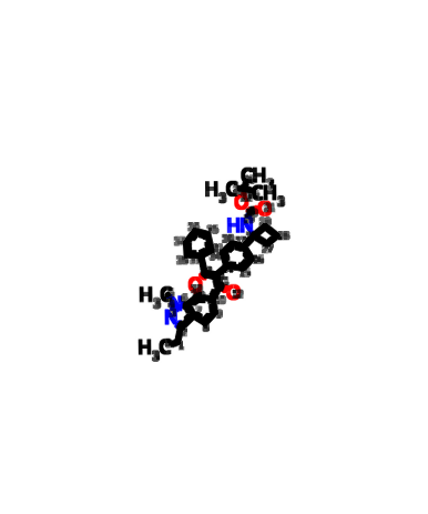 CCc1nn(C)c2c1ccc1c(=O)c(-c3ccc(C4(NC(=O)OC(C)(C)C)CCC4)cc3)c(-c3ccccc3)oc12